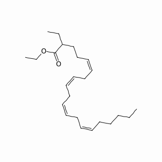 CCCCC/C=C\C/C=C\C/C=C\C/C=C\CCC(CC)C(=O)OCC